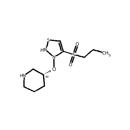 CCCS(=O)(=O)C1=CSNN1O[C@@H]1CCCNC1